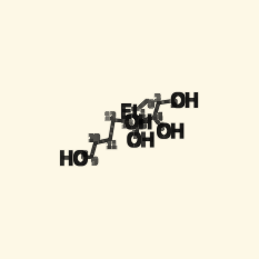 CCC.OCC(O)CO.OCCCCO